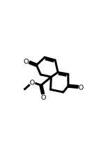 COC(=O)C12CCC(=O)C=C1C=CC(=O)C2